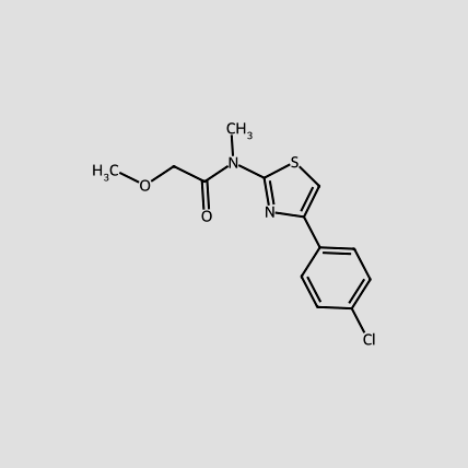 COCC(=O)N(C)c1nc(-c2ccc(Cl)cc2)cs1